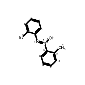 CCc1ccccc1N=[N+](O)c1ccccc1C